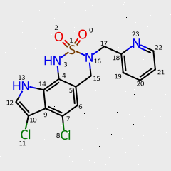 O=S1(=O)Nc2c(cc(Cl)c3c(Cl)c[nH]c23)CN1Cc1ccccn1